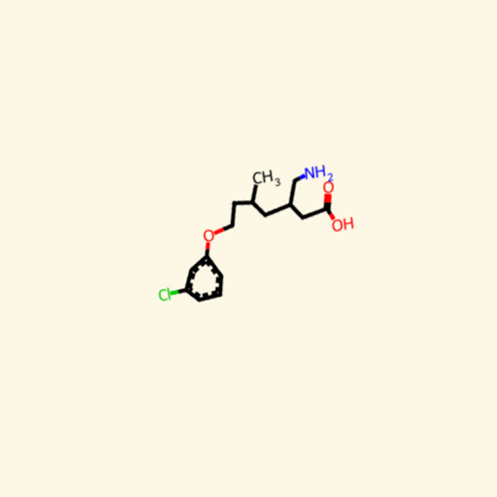 CC(CCOc1cccc(Cl)c1)CC(CN)CC(=O)O